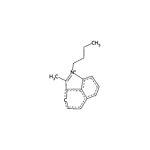 CCCC[N+]1=C(C)c2cccc3cccc1c23